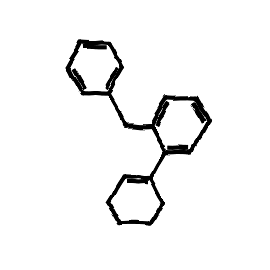 C1=C(c2ccccc2Cc2ccccc2)CCCC1